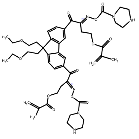 C=C(C)C(=O)OCC/C(=N\OC(=O)N1CCNCC1)C(=O)c1ccc2c(c1)-c1cc(C(=O)/C(CCOC(=O)C(=C)C)=N/OC(=O)N3CCNCC3)ccc1C2(CCOCC)CCOCC